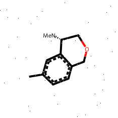 CN[C@@H]1COCc2ccc(C)cc21